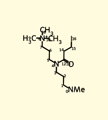 CNCCCN(CCC[N+](C)(C)C)C(=O)CCI